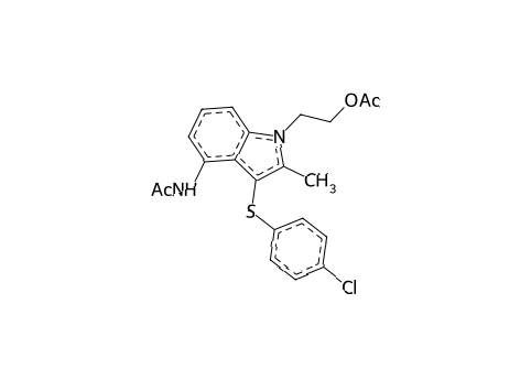 CC(=O)Nc1cccc2c1c(Sc1ccc(Cl)cc1)c(C)n2CCOC(C)=O